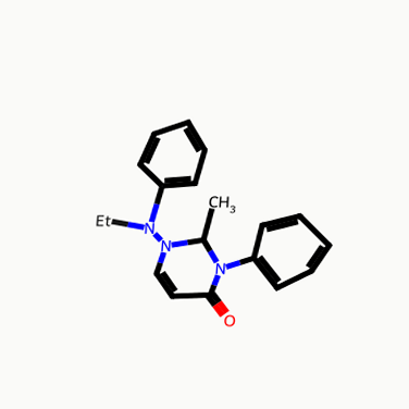 CCN(c1ccccc1)N1C=CC(=O)N(c2ccccc2)C1C